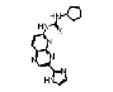 S=C(Nc1ccc2ncc(-c3ncc[nH]3)nc2n1)NC1CCCC1